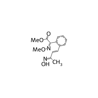 CON=C(C(=O)OC)c1ccccc1C=C/C(C)=N/O